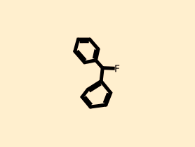 FC(c1ccccc1)c1ccccc1